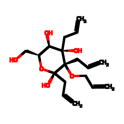 C=CCO[C@]1(CC=C)[C@](O)(CC=C)O[C@H](CO)[C@@H](O)[C@@]1(O)CC=C